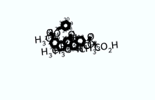 CC1(C)[C@@H](C(=O)OCC(=O)O)CC[C@]2(C)[C@H]3C(=O)C=C4C5C[C@@](C)(C(=O)OCc6ccccc6)CC[C@]5(C)CC[C@@]4(C)[C@]3(C)CC[C@@H]12